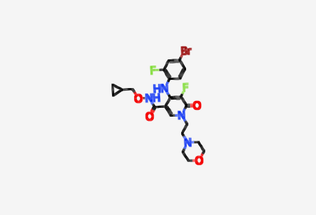 O=C(NOCC1CC1)c1cn(CCN2CCOCC2)c(=O)c(F)c1Nc1ccc(Br)cc1F